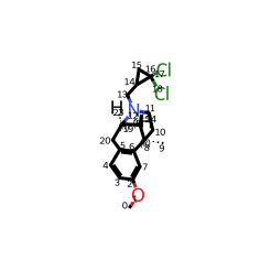 COc1ccc2c(c1)[C@]1(C)CCN(CC3CC3(Cl)Cl)[C@H](C2)[C@H]1C